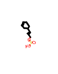 O=S(O)OCC=Cc1ccccc1